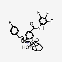 O=C(Nc1cc(F)c(F)c(F)c1)c1ccc(Cl)c(S(=O)(=O)[C@H]2C3CCC2C[C@](O)(/C=N/OCc2ccc(F)cc2)C3)c1